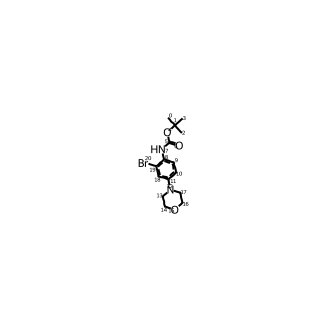 CC(C)(C)OC(=O)Nc1ccc(N2CCOCC2)cc1Br